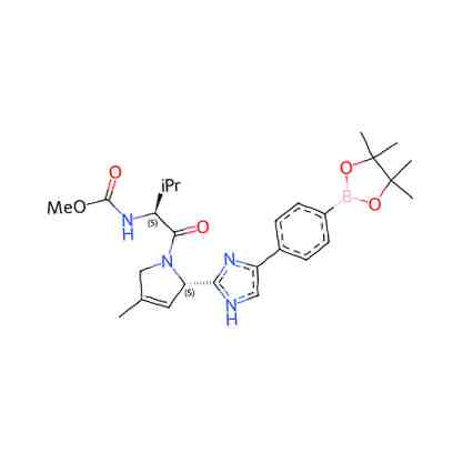 COC(=O)N[C@H](C(=O)N1CC(C)=C[C@H]1c1nc(-c2ccc(B3OC(C)(C)C(C)(C)O3)cc2)c[nH]1)C(C)C